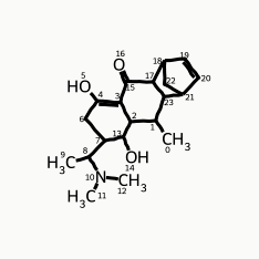 CC1C2C(=C(O)CC(C(C)N(C)C)C2O)C(=O)C2C3C=CC(C3)C12